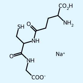 NC(CCC(=O)NC(CS)C(=O)NCC(=O)[O-])C(=O)O.[Na+]